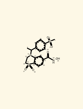 CC(c1ccc(S(C)(=O)=O)cc1)N1CCS(=O)(=O)c2ccc(C(=O)NO)cc21